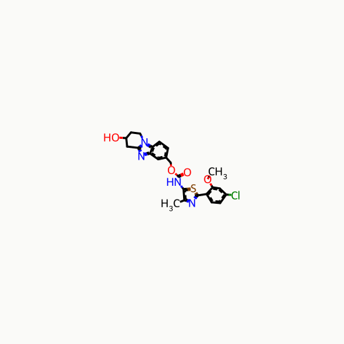 COc1cc(Cl)ccc1-c1nc(C)c(NC(=O)OCc2ccc3c(c2)nc2n3CCC(O)C2)s1